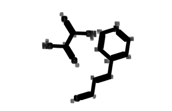 O=C(O)C(=O)O.O=C/C=C/c1ccncc1